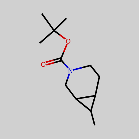 CC1C2CCN(C(=O)OC(C)(C)C)CC12